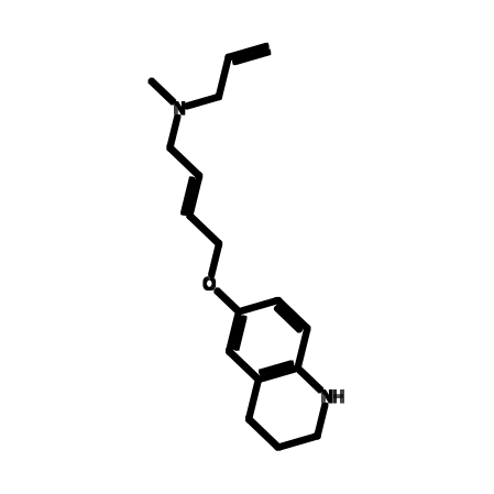 C=CCN(C)CC=CCOc1ccc2c(c1)CCCN2